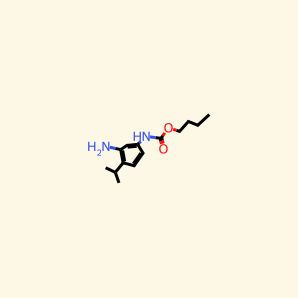 CCCCOC(=O)Nc1ccc(C(C)C)c(N)c1